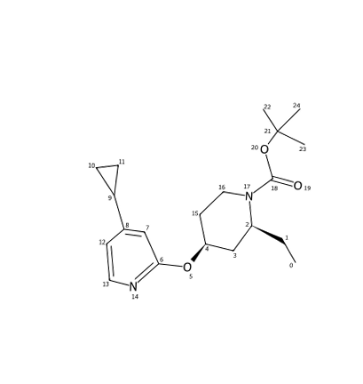 CC[C@H]1C[C@@H](Oc2cc(C3CC3)ccn2)CCN1C(=O)OC(C)(C)C